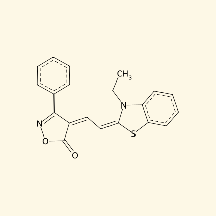 CCN1C(=CC=C2C(=O)ON=C2c2ccccc2)Sc2ccccc21